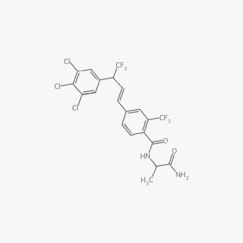 CC(NC(=O)c1ccc(C=CC(c2cc(Cl)c(Cl)c(Cl)c2)C(F)(F)F)cc1C(F)(F)F)C(N)=O